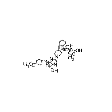 COc1ccc(Cn2nc(O)c3ncc(N4CCC5(CC4)Cc4ccccc4[C@H]5CC(C)(C)NC(=O)O)nc32)cc1